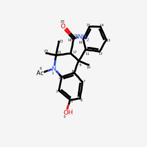 CC(=O)N1c2cc(O)[c]cc2C(C)(c2ccccc2)C(C(N)=O)C1(C)C